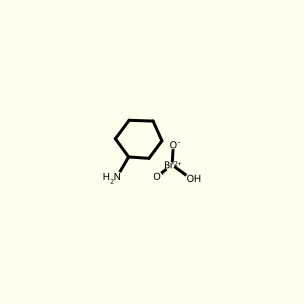 NC1CCCCC1.[O-][Br+2]([O-])O